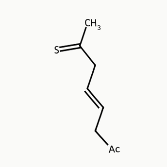 CC(=O)CC=CCC(C)=S